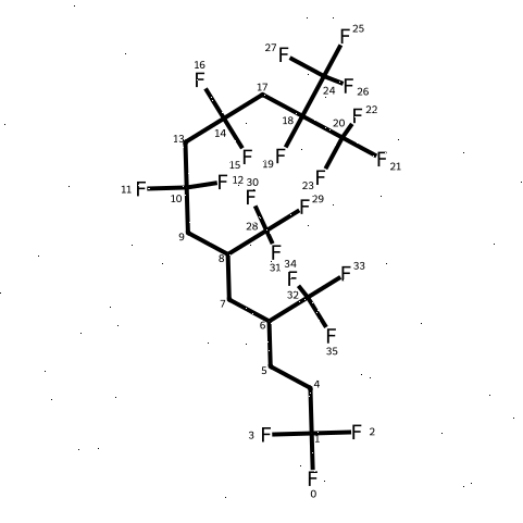 FC(F)(F)CCC(CC(CC(F)(F)CC(F)(F)CC(F)(C(F)(F)F)C(F)(F)F)C(F)(F)F)C(F)(F)F